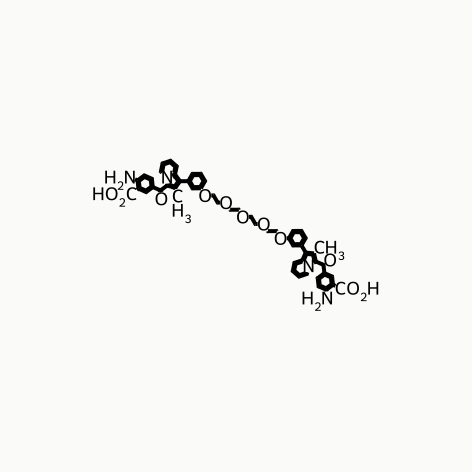 Cc1c(-c2cccc(OCCOCCOCCOCCOc3cccc(-c4c(C)c(C(=O)c5ccc(N)c(C(=O)O)c5)n5ccccc45)c3)c2)c2ccccn2c1C(=O)c1ccc(N)c(C(=O)O)c1